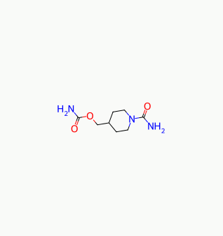 NC(=O)OCC1CCN(C(N)=O)CC1